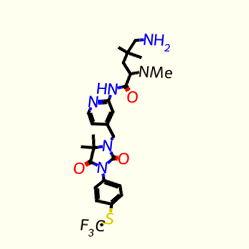 CNC(CC(C)(C)CN)C(=O)Nc1cc(CN2C(=O)N(c3ccc(SC(F)(F)F)cc3)C(=O)C2(C)C)ccn1